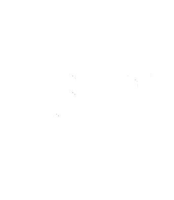 O=C(C=Cc1ccc2c(c1)nc(CCc1ccccc1)n2CCN1CCOCC1)NO